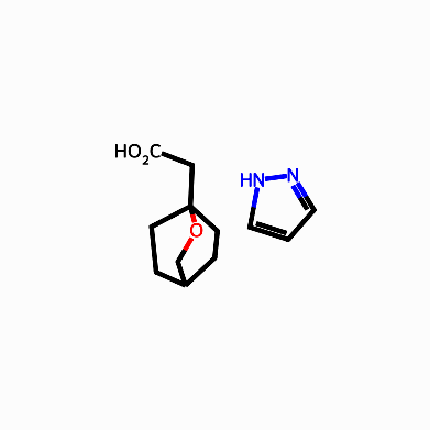 O=C(O)CC12CCC(CC1)CO2.c1cn[nH]c1